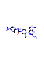 CC[C@H]1CN(C(=O)Nc2ncc(N(C)C)nc2C)CCN1c1nc(N)nc2c1cnn2C